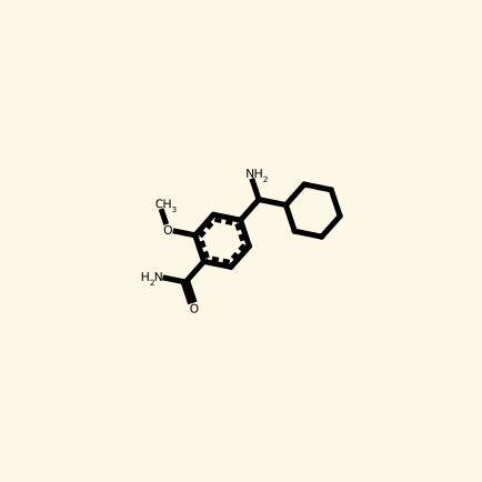 COc1cc(C(N)C2CCCCC2)ccc1C(N)=O